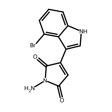 NN1C(=O)C=C(c2c[nH]c3cccc(Br)c23)C1=O